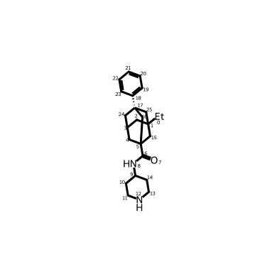 CCC12CC3CC(C(=O)NC4CCNCC4)(C1)C[C@@](c1ccccc1)(C3)C2